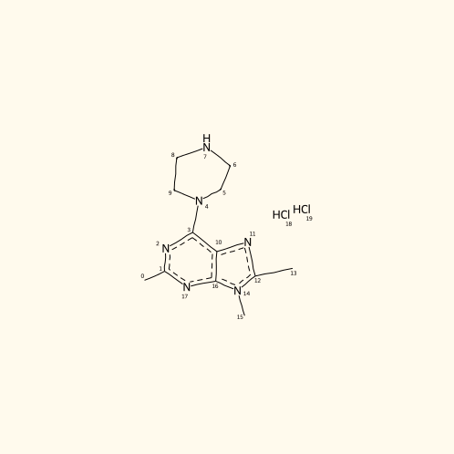 Cc1nc(N2CCNCC2)c2nc(C)n(C)c2n1.Cl.Cl